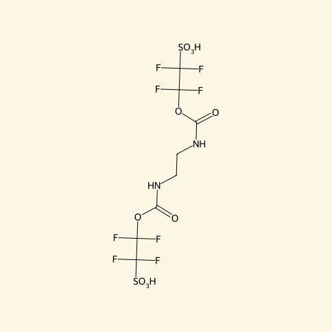 O=C(NCCNC(=O)OC(F)(F)C(F)(F)S(=O)(=O)O)OC(F)(F)C(F)(F)S(=O)(=O)O